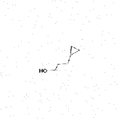 O[CH]CCC1CC1